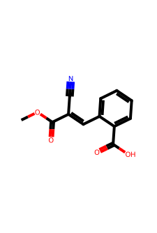 COC(=O)/C(C#N)=C/c1ccccc1C(=O)O